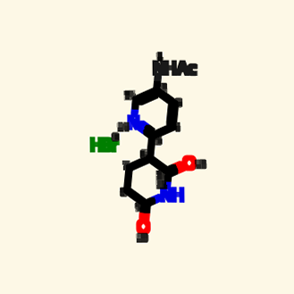 Br.CC(=O)Nc1ccc(C2CCC(=O)NC2=O)nc1